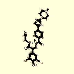 CN1CCN(c2nc(-c3ccc(C(=O)NCC(C(=O)NCC#N)c4cc(I)c(O)c(I)c4)cc3)cs2)CC1